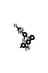 Cc1ccc(-c2ccc3c4ccccc4n(-c4ccc(-c5ncc(C#N)cn5)cc4C#N)c3c2)c(C(F)(F)F)c1